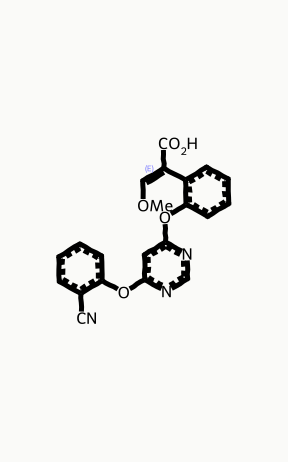 CO/C=C(/C(=O)O)c1ccccc1Oc1cc(Oc2ccccc2C#N)ncn1